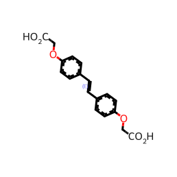 O=C(O)COc1ccc(/C=C/c2ccc(OCC(=O)O)cc2)cc1